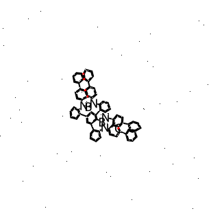 c1ccc(-c2ccc(N3B4c5c(cc6c7c5-c5c(cccc5N(c5ccc(-c8ccccc8)cc5)B7N(c5ccc(-c7ccccc7)cc5)c5ccccc5-6)N4c4ccc(-c5ccccc5)cc4)-c4ccccc43)cc2)cc1